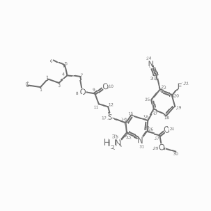 CCCCC(CC)COC(=O)CCSc1cc(-c2ccc(F)c(C#N)c2)c(C(=O)OC)nc1N